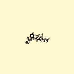 CC(C)=N/N=C1\NC(=O)C(CC(=O)Nc2ccccc2CC(=O)O)S1